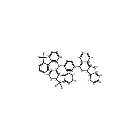 CC1(C)c2ccccc2-c2c(N(c3ccc(-c4cc5c6ccccc6sc5c5ccccc45)cc3)c3cccc4c3-c3ccccc3C4(C)C)cccc21